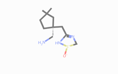 CC1(C)CC[C@](CN)(CC2=NC[S+]([O-])N2)C1